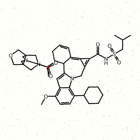 COc1ccc(C2CCCCC2)c2c1cc1n2CC2=C(C(=O)NS(=O)(=O)CC(C)C)C2=C2C=CC[C@@H](C(=O)N3CC45COCC4(CN(C(C)=O)C5)C3)C21